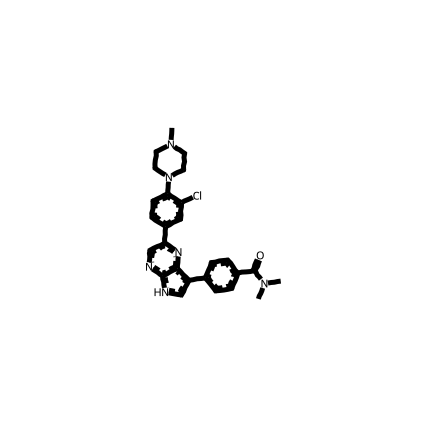 CN1CCN(c2ccc(-c3cnc4[nH]cc(-c5ccc(C(=O)N(C)C)cc5)c4n3)cc2Cl)CC1